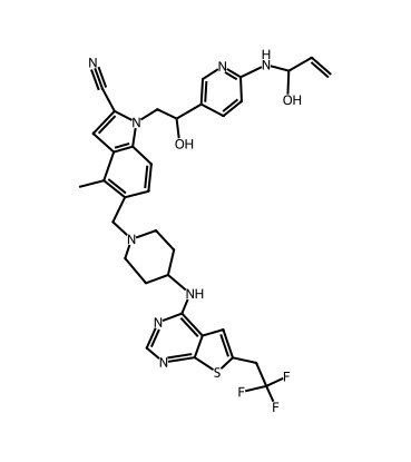 C=CC(O)Nc1ccc(C(O)Cn2c(C#N)cc3c(C)c(CN4CCC(Nc5ncnc6sc(CC(F)(F)F)cc56)CC4)ccc32)cn1